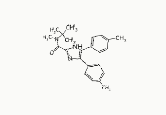 Cc1ccc(-c2nc(C(=O)N(C)C(C)(C)C)[nH]c2-c2ccc(C)cc2)cc1